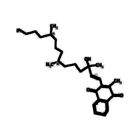 CC1=C(/C=C/C(C)(O)CCC[C@H](C)CCC[C@H](C)CCCC(C)C)C(=O)c2ccccc2C1=O